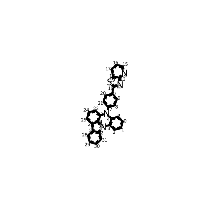 c1ccc2c(c1)N(c1ccc(-c3nc4ncccc4s3)cc1)c1cccc3c4ccccc4n-2c13